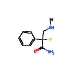 CCNCC(F)(C(N)=O)c1ccccc1